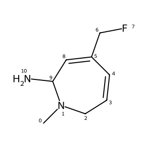 CN1CC=CC(CF)=CC1N